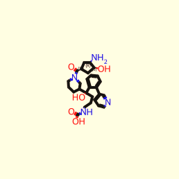 N[C@@H]1C[C@H](C(=O)N2CCCC(C(O)(CCCNC(=O)O)c3ccccc3-c3cccnc3)C2)C[C@@H]1O